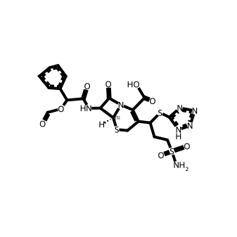 NS(=O)(=O)CCC(Sc1nnn[nH]1)C1=C(C(=O)O)N2C(=O)C(NC(=O)C(OC=O)c3ccccc3)[C@@H]2SC1